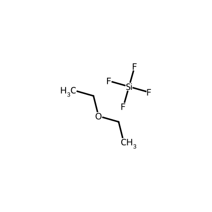 CCOCC.F[Si](F)(F)F